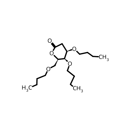 CCCCOC[C@H]1OC(=O)C[C@@H](OCCCC)[C@H]1OCCCC